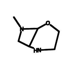 CN1CC2NCCOC21